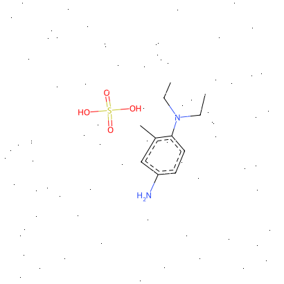 CCN(CC)c1ccc(N)cc1C.O=S(=O)(O)O